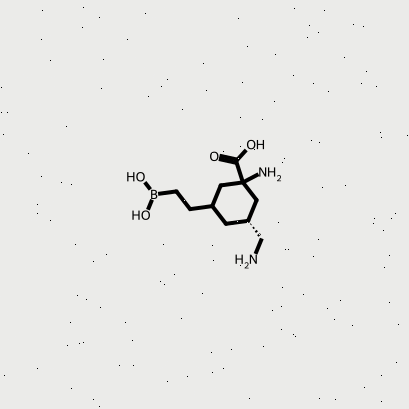 NC[C@@H]1CC(CCB(O)O)CC(N)(C(=O)O)C1